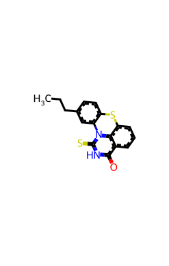 CCCc1ccc2c(c1)-n1c(=S)[nH]c(=O)c3cccc(c31)S2